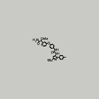 COC(C(N)=O)c1cc(Oc2ccc(NC(=O)Nc3cc(C(C)(C)C)nn3-c3ccc(C)cc3)cc2)ccn1